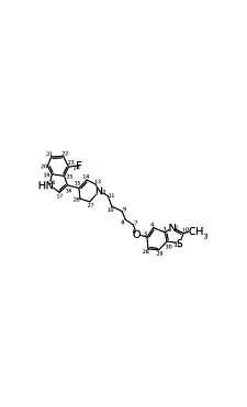 Cc1nc2cc(OCCCCCN3CC=C(c4c[nH]c5cccc(F)c45)CC3)ccc2s1